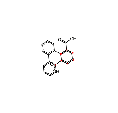 O=C(O)c1cccc(C(=O)O)c1-c1ccccc1-c1ccccc1-c1ccccc1